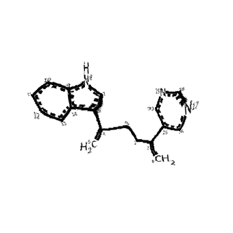 C=C(CCC(=C)c1c[nH]c2ccccc12)c1cncnc1